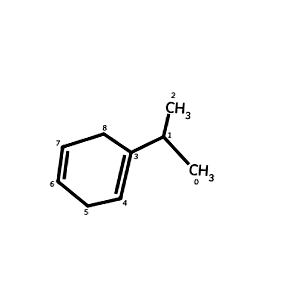 CC(C)C1=CCC=CC1